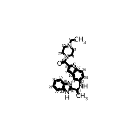 CCN1CCN(C(=O)c2cc3cc(NC(C)c4nc5ccccc5[nH]4)ccc3s2)CC1